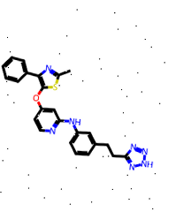 Cc1nc(-c2ccccc2)c(Oc2ccnc(Nc3cccc(CCc4nn[nH]n4)c3)c2)s1